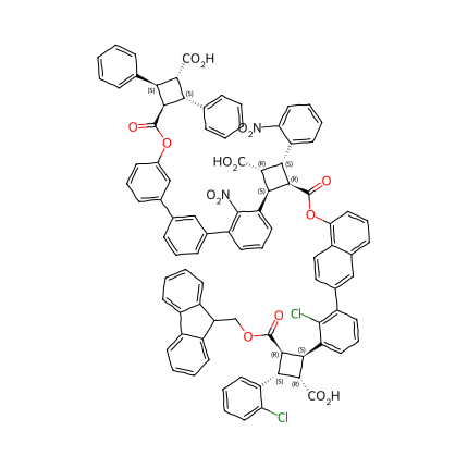 O=C(O)[C@@H]1[C@H](c2ccccc2Cl)[C@@H](C(=O)OCC2c3ccccc3-c3ccccc32)[C@H]1c1cccc(-c2ccc3c(OC(=O)[C@@H]4[C@@H](c5ccccc5[N+](=O)[O-])[C@@H](C(=O)O)[C@@H]4c4cccc(-c5cccc(-c6cccc(OC(=O)[C@H]7[C@@H](c8ccccc8)[C@H](C(=O)O)[C@@H]7c7ccccc7)c6)c5)c4[N+](=O)[O-])cccc3c2)c1Cl